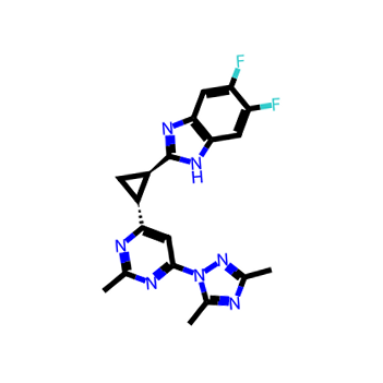 Cc1nc([C@@H]2C[C@H]2c2nc3cc(F)c(F)cc3[nH]2)cc(-n2nc(C)nc2C)n1